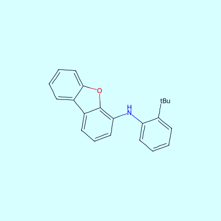 CC(C)(C)c1ccccc1Nc1cccc2c1oc1ccccc12